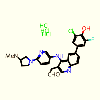 CNC1CCN(c2ccc(Nc3c(CC=O)cnc4ccc(-c5cc(F)c(O)c(Cl)c5)cc34)cn2)C1.Cl.Cl.Cl